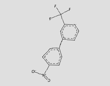 O=[N+]([O-])c1ccc(-c2cc[c]c(C(F)(F)F)c2)cc1